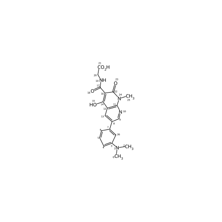 CN(C)c1cccc(-c2cnc3c(c2)c(O)c(C(=O)NCC(=O)O)c(=O)n3C)c1